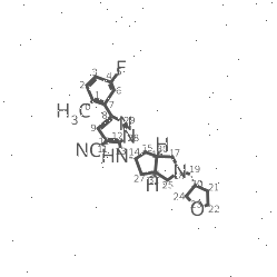 Cc1ccc(F)cc1-c1cc(C#N)c(N[C@@H]2C[C@@H]3CN(C[C@@H]4CCOC4)C[C@@H]3C2)nn1